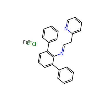 C(Cc1ccccn1)=Nc1c(-c2ccccc2)cccc1-c1ccccc1.[Cl-].[Cl-].[Fe+2]